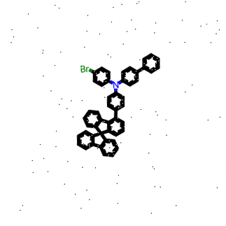 Brc1ccc(N(c2ccc(-c3ccccc3)cc2)c2ccc(-c3cccc4c3-c3ccccc3C43c4ccccc4-c4ccccc43)cc2)cc1